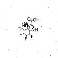 NC1(c2c(F)c(F)c(F)c3[nH]cc(C(=O)O)c(=O)c23)CC1